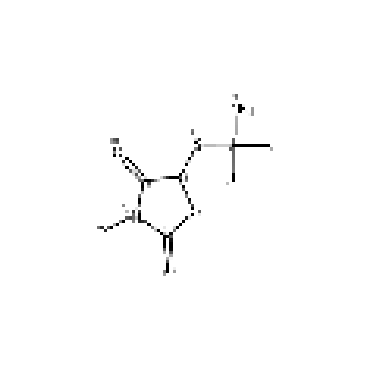 C=C1CC(SC(C)(C)C(C)(C)C)C(=O)N1C